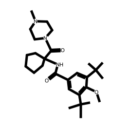 COc1c(C(C)(C)C)cc(C(=O)NC2(C(=O)N3CCN(C)CC3)CCCCC2)cc1C(C)(C)C